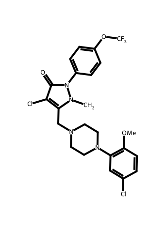 COc1ccc(Cl)cc1N1CCN(Cc2c(Cl)c(=O)n(-c3ccc(OC(F)(F)F)cc3)n2C)CC1